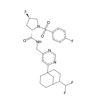 O=C(NCc1cc(C23CCCC(C2)C(C(F)F)CC3)ncn1)[C@@H]1C[C@@H](F)CN1S(=O)(=O)c1ccc(F)cc1